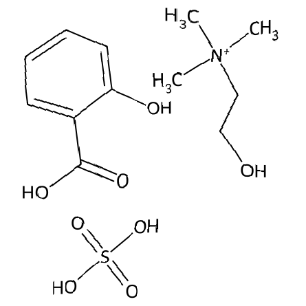 C[N+](C)(C)CCO.O=C(O)c1ccccc1O.O=S(=O)(O)O